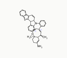 C=C1/C=C(c2ccccc2N2c3ccccc3C3c4sc5ccccc5c4C=CC32)\C=C/OC2(C)CCC(N)=CC12